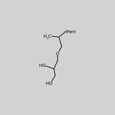 CCCCCC(C)COCC(O)CO